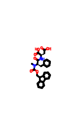 CN(C(=O)OCC1c2ccccc2-c2ccccc21)[C@@H](Cc1ccccc1)C(=O)N[C@@H](CC(=O)O)C(=O)O